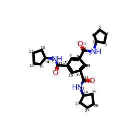 O=C(NC1CCCC1)c1cc(C(=O)NC2CCCC2)cc(C(=O)NC2CCCC2)c1